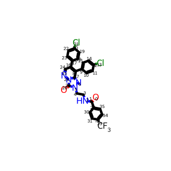 O=C(NCCn1nc2c(-c3ccc(Cl)cc3)c(-c3ccc(Cl)cc3)cnn2c1=O)c1ccc(C(F)(F)F)cc1